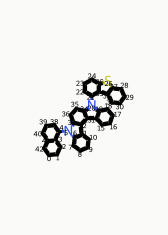 c1ccc2c(-n3c4ccccc4c4c5c6ccccc6n(-c6cccc7sc8ccccc8c67)c5ccc43)cccc2c1